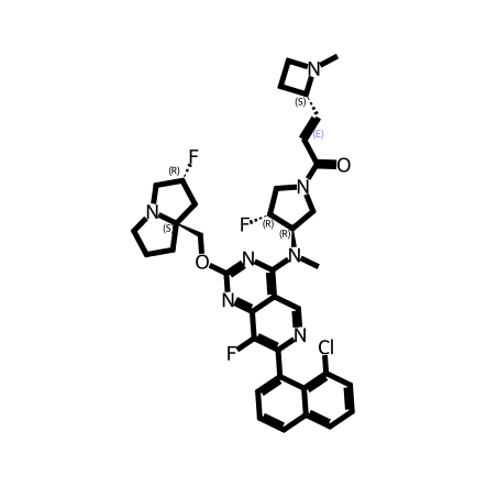 CN1CC[C@H]1/C=C/C(=O)N1C[C@@H](F)[C@H](N(C)c2nc(OC[C@@]34CCCN3C[C@H](F)C4)nc3c(F)c(-c4cccc5cccc(Cl)c45)ncc23)C1